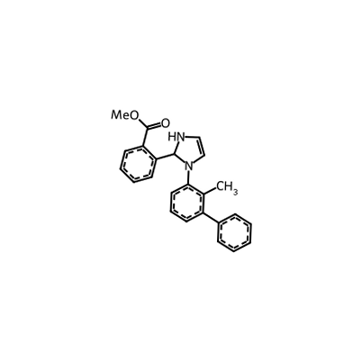 COC(=O)c1ccccc1C1NC=CN1c1cccc(-c2ccccc2)c1C